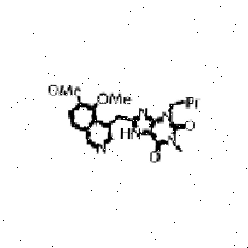 COc1ccc2cncc(Cc3nc4c([nH]3)c(=O)n(C)c(=O)n4CC(C)C)c2c1OC